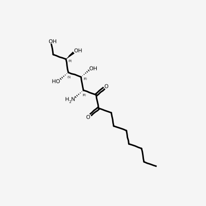 CCCCCCCC(=O)C(=O)[C@H](N)[C@@H](O)[C@H](O)[C@H](O)CO